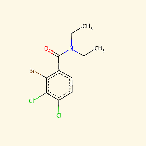 CCN(CC)C(=O)c1ccc(Cl)c(Cl)c1Br